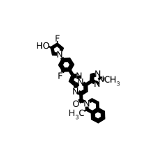 C[C@@H]1c2ccccc2CCN1C(=O)c1cc(-c2cnn(C)n2)n2nc(-c3ccc(N4C[C@@H](O)[C@H](F)C4)cc3F)cc2n1